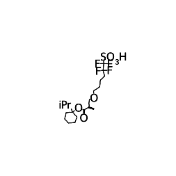 C=C(COCCCCC(F)(F)C(F)(F)S(=O)(=O)O)C(=O)OC1(C(C)C)CCCCC1